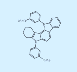 COc1cccc(-n2c3c(c4c2ccc2c5ccccc5n(-c5cccc(OC)c5)c24)CCCC3)c1